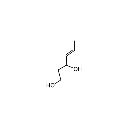 CC=CC(O)CCO